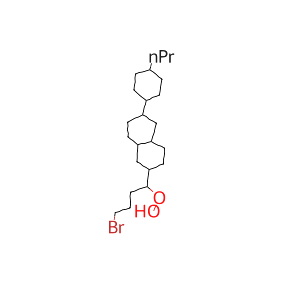 CCCC1CCC(C2CCC3CC(C(CCCBr)OO)CCC3C2)CC1